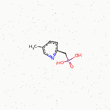 Cc1ccc(CP(=O)(O)O)nc1